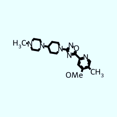 COc1cc(-c2nc(N3CCC(N4CCN(C)CC4)CC3)no2)ncc1C